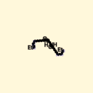 CC/C=C\C/C=C\C/C=C\CCCCCCCC(=O)NCCCC[C@@H](C)NC(=O)CCCCCCC/C=C\C/C=C\C/C=C\CC